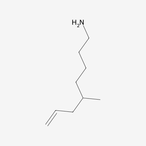 C=CCC(C)CCCCN